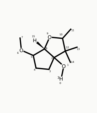 [3H]OC12CCC(OC)[C@@H]1OC(C)C2(C)C